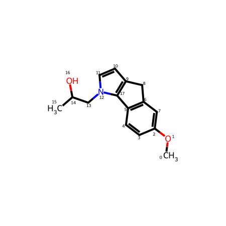 COc1ccc2c(c1)Cc1ccn(CC(C)O)c1-2